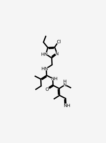 CC/C(C)=C(/NCc1nc(Cl)c(CC)[nH]1)NC(=O)/C(NC)=C(\C)C=N